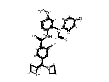 COc1ccc(NC(=O)c2ccc(C(=C3CCN3)N3CCC3)cc2F)c(N(C=O)c2ccc(Cl)cn2)c1